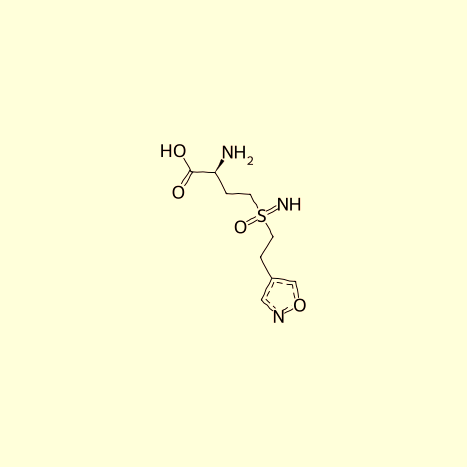 N=S(=O)(CCc1cnoc1)CC[C@H](N)C(=O)O